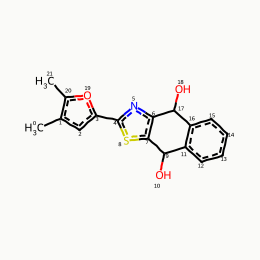 Cc1cc(-c2nc3c(s2)C(O)c2ccccc2C3O)oc1C